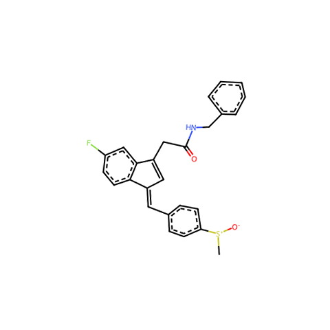 C[S+]([O-])c1ccc(/C=C2\C=C(CC(=O)NCc3ccccc3)c3cc(F)ccc32)cc1